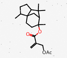 C=C(COC(C)=O)C(=O)OC1(C)CCC23CC1C(C)(C)C2CCC3C